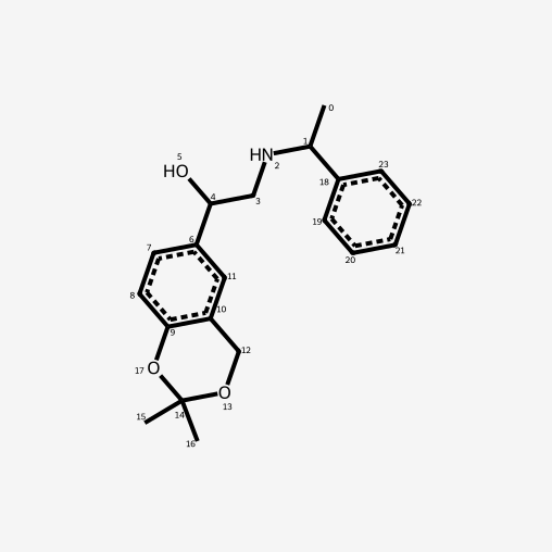 CC(NCC(O)c1ccc2c(c1)COC(C)(C)O2)c1ccccc1